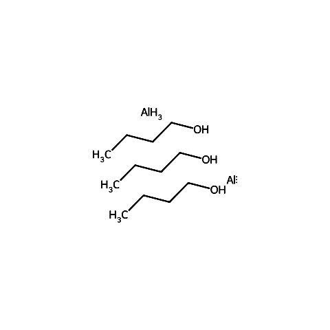 CCCCO.CCCCO.CCCCO.[AlH3].[Al]